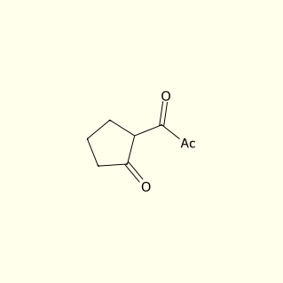 CC(=O)C(=O)C1CCCC1=O